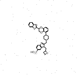 O=C(O)c1ccc2nc(CN3CCC(c4cccc5c4OCC(c4nc6ccccc6s4)O5)CC3)n(CC3CCO3)c2c1